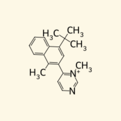 Cc1c(-c2ccnc[n+]2C)cc(C(C)(C)C)c2ccccc12